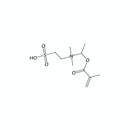 C=C(C)C(=O)OC(C)[N+](C)(C)CCS(=O)(=O)O